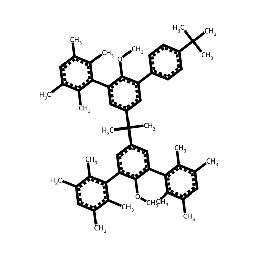 COc1c(-c2ccc(C(C)(C)C)cc2)cc(C(C)(C)c2cc(-c3c(C)c(C)cc(C)c3C)c(OC)c(-c3c(C)c(C)cc(C)c3C)c2)cc1-c1c(C)c(C)cc(C)c1C